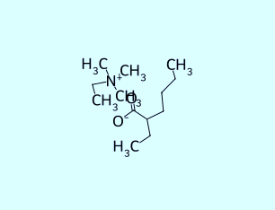 CCCCC(CC)C(=O)[O-].CC[N+](C)(C)C